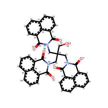 O=C1c2cccc3cccc(c23)C(=O)N1CC(CO)(CN1C(=O)c2cccc3cccc(c23)C1=O)CN1C(=O)c2cccc3cccc(c23)C1=O